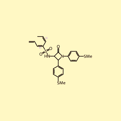 C=C/C=C(\C=C/C)S(=O)(=O)NC1C(=O)N(c2ccc(SC)cc2)C1c1ccc(SC)cc1